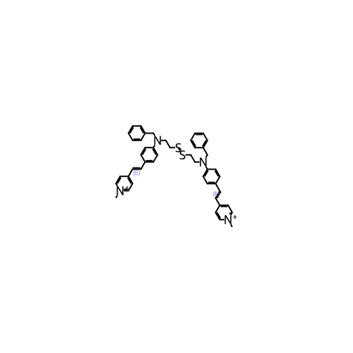 C[n+]1ccc(/C=C/c2ccc(N(CCSSCCN(Cc3ccccc3)c3ccc(/C=C/c4cc[n+](C)cc4)cc3)Cc3ccccc3)cc2)cc1